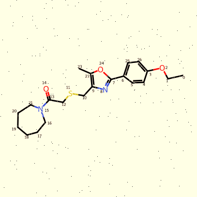 CCOc1ccc(-c2nc(CSCC(=O)N3CCCCCC3)c(C)o2)cc1